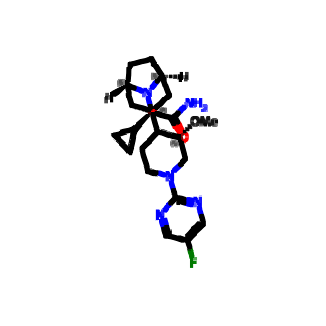 CO[C@@H]1CN(c2ncc(F)cn2)CCC1C1C[C@@H]2CC[C@@H](C1)N2[C@@H](C(N)=O)C1CC1